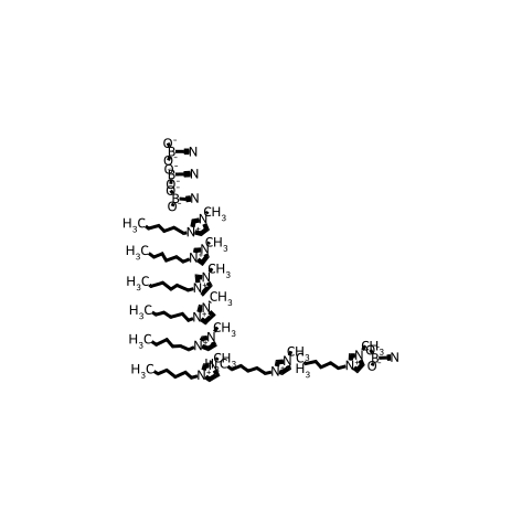 CCCCCC[n+]1ccn(C)c1.CCCCCC[n+]1ccn(C)c1.CCCCCC[n+]1ccn(C)c1.CCCCCC[n+]1ccn(C)c1.CCCCCC[n+]1ccn(C)c1.CCCCCC[n+]1ccn(C)c1.CCCCCC[n+]1ccn(C)c1.CCCCCC[n+]1ccn(C)c1.N#CB([O-])[O-].N#CB([O-])[O-].N#CB([O-])[O-].N#CB([O-])[O-]